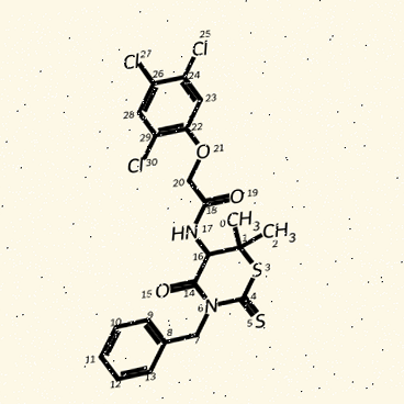 CC1(C)SC(=S)N(Cc2ccccc2)C(=O)C1NC(=O)COc1cc(Cl)c(Cl)cc1Cl